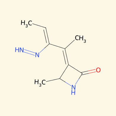 C/C=C(N=N)/C(C)=C1/C(=O)NC1C